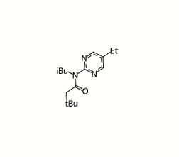 CCc1cnc(N(C(=O)CC(C)(C)C)C(C)CC)nc1